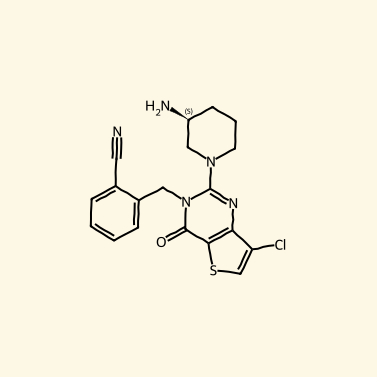 N#Cc1ccccc1Cn1c(N2CCC[C@H](N)C2)nc2c(Cl)csc2c1=O